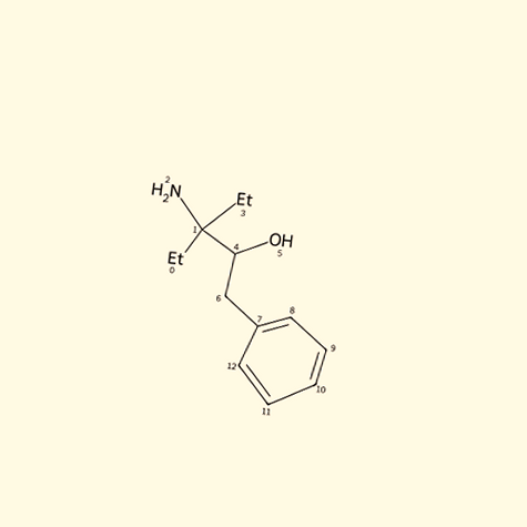 CCC(N)(CC)C(O)Cc1ccccc1